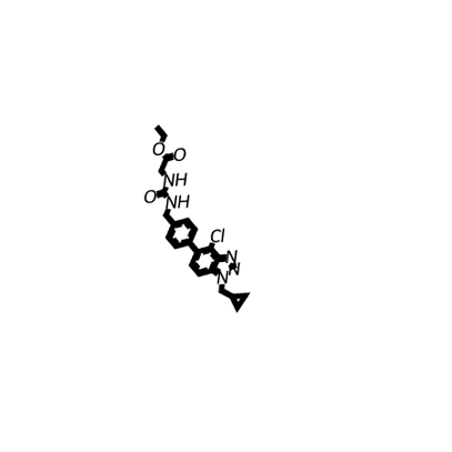 CCOC(=O)CNC(=O)NCc1ccc(-c2ccc3c(nnn3CC3CC3)c2Cl)cc1